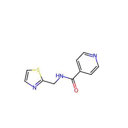 O=C(NCc1nccs1)c1ccncc1